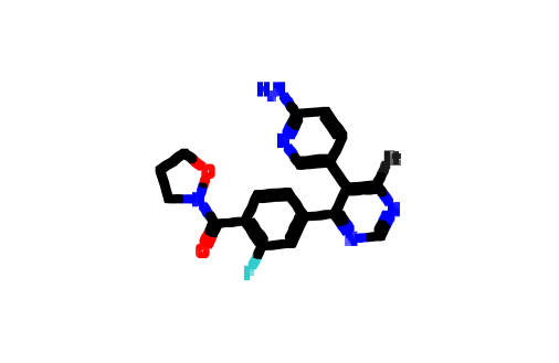 CCc1ncnc(-c2ccc(C(=O)N3CCCO3)c(F)c2)c1-c1ccc(N)nc1